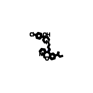 C=C(CC)c1ccc2c(c1)/C(=C/CCN1CCC(O)(c3ccc(Cl)cc3)CC1)c1cccnc1CO2